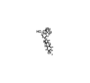 CC(C)(C)N(C(=O)O)C1(c2cccc(-c3cc(Oc4ccc(C(F)(F)F)cc4)[nH]n3)c2)COC1